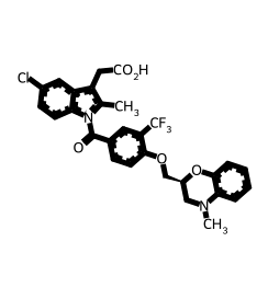 Cc1c(CC(=O)O)c2cc(Cl)ccc2n1C(=O)c1ccc(OC[C@@H]2CN(C)c3ccccc3O2)c(C(F)(F)F)c1